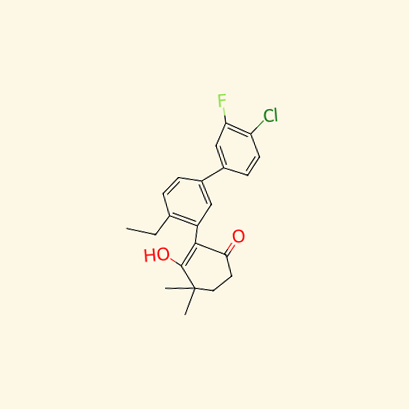 CCc1ccc(-c2ccc(Cl)c(F)c2)cc1C1=C(O)C(C)(C)CCC1=O